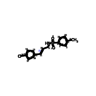 Cc1ccc(S(=O)(=O)NC/C=C/c2ccc(Cl)cc2)cc1